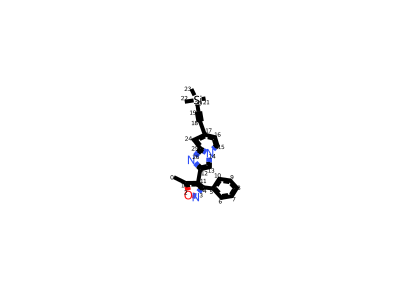 Cc1onc(-c2ccccc2)c1-c1cn2ccc(C#C[Si](C)(C)C)cc2n1